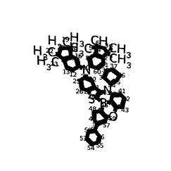 CC1(C)CC(C)(C)c2cc(N(c3ccc4c(c3)C(C)(C)CC4(C)C)c3ccc4sc5c(c4c3)N(c3ccccc3)c3cccc4c3B5c3ccc(-c5ccccc5)cc3O4)ccc21